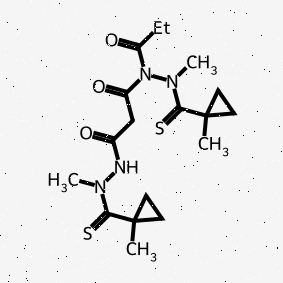 CCC(=O)N(C(=O)CC(=O)NN(C)C(=S)C1(C)CC1)N(C)C(=S)C1(C)CC1